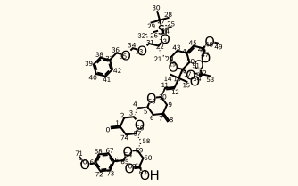 C=C1C[C@H](C[C@@H]2CC(=C)C[C@H](C=CC(C)(C)[C@]3(OC)O[C@H](C[C@@H](O[Si](C)(C)C(C)(C)C)[C@@H](C)OCOCc4ccccc4)CC(=CC(=O)OC)[C@@H]3OC(C)=O)O2)O[C@H](C[C@H](CC(=O)O)OCc2ccc(OC)cc2)C1